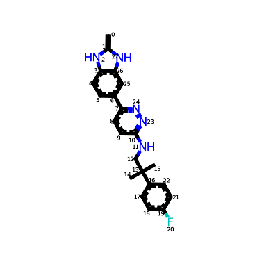 C=C1Nc2ccc(-c3ccc(NCC(C)(C)c4ccc(F)cc4)nn3)cc2N1